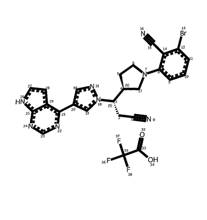 N#CC[C@@H]([C@H]1CCN(c2cccc(Br)c2C#N)C1)n1cc(-c2ncnc3[nH]ccc23)cn1.O=C(O)C(F)(F)F